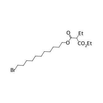 CCOC(=O)C(CC)C(=O)OCCCCCCCCCCCBr